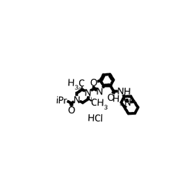 CC(C)C(=O)N1C[C@H](C)N(c2nc3c(C(=O)NC4CC5CCCC(C4)N5C)cccc3o2)[C@@H](C)C1.Cl